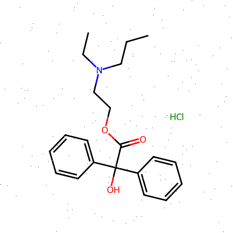 CCCN(CC)CCOC(=O)C(O)(c1ccccc1)c1ccccc1.Cl